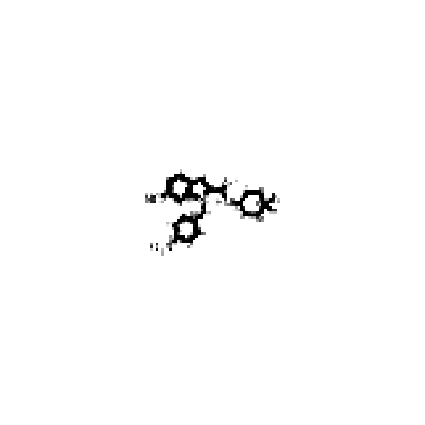 N#Cc1ccc2cc(C(=O)NC3CCC(F)(F)CC3)n(Cc3ccc([N+](=O)[O-])cc3)c2c1